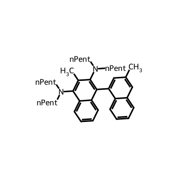 CCCCCN(CCCCC)c1c(C)c(N(CCCCC)CCCCC)c2ccccc2c1-c1cc(C)cc2ccccc12